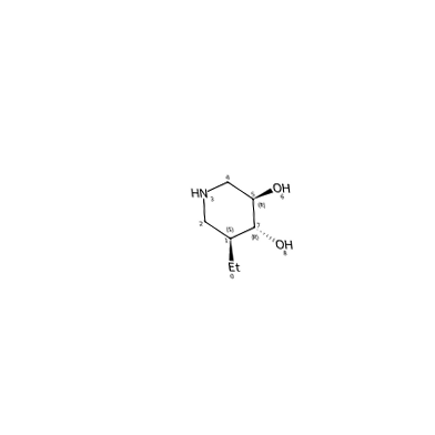 CC[C@H]1CNC[C@@H](O)[C@@H]1O